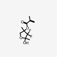 C=C(C)C(=O)OC1(C)COC(C)(O)C1(F)F